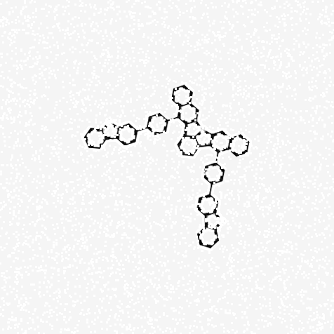 c1ccc2c(-c3ccc(-c4ccc5c(c4)oc4ccccc45)cc3)c3c4cccc5c6c(-c7ccc(-c8ccc9c(c8)oc8ccccc89)cc7)c7ccccc7cc6n(c3cc2c1)c45